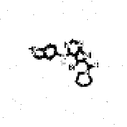 O=C(c1[nH]c2ncnc(Nc3ccc4[nH]ncc4c3)c2c1Br)N1CCCCC1